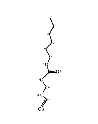 CCCCCCOC(=O)OCOC=O